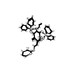 C=CCOC1C(O[Si](c2ccccc2)(c2ccccc2)C(C)(C)C)CC(=CCOC2CCCCO2)C(=C)C1O[Si](c1ccccc1)(c1ccccc1)C(C)(C)C